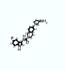 NC1CCN(c2ccc3c(c2)CCN(C(=O)Nc2c[nH]c4ccc(F)cc24)C3)C1